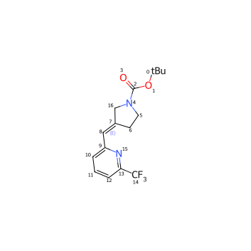 CC(C)(C)OC(=O)N1CC/C(=C\c2cccc(C(F)(F)F)n2)C1